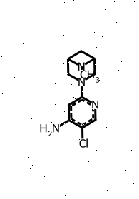 CN1C2CC1CN(c1cc(N)c(Cl)cn1)C2